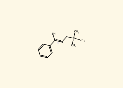 C[Si](C)(C)C/N=C(\S)c1ccccc1